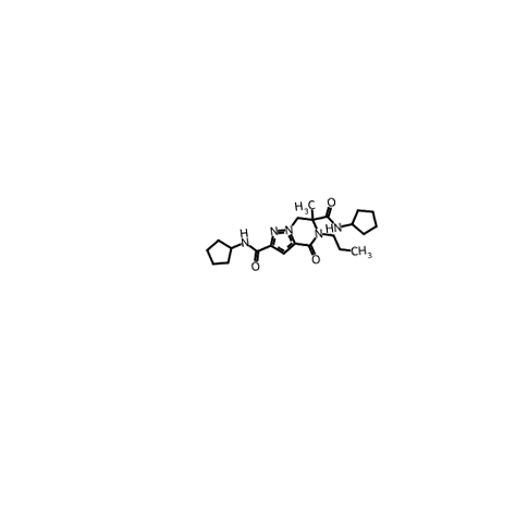 CCCN1C(=O)c2cc(C(=O)NC3CCCC3)nn2CC1(C)C(=O)NC1CCCC1